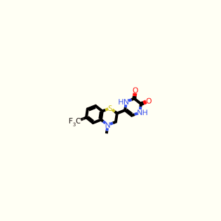 CN1CC(c2c[nH]c(=O)c(=O)[nH]2)Sc2ccc(C(F)(F)F)cc21